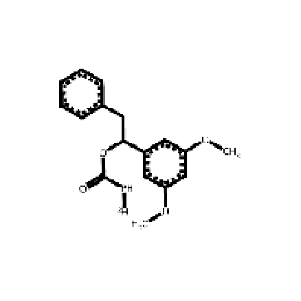 [2H]PC(=O)OC(Cc1ccccc1)c1cc(OC)cc(OC)c1